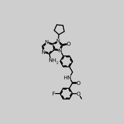 COc1ccc(F)cc1C(=O)NCc1ccc(-n2c(=O)n(C3CCCC3)c3ncnc(N)c32)cc1